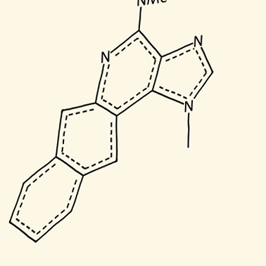 CNc1nc2cc3ccccc3cc2c2c1ncn2C